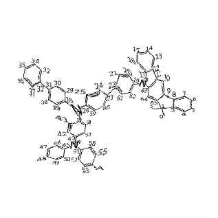 CC1(C)c2ccccc2-c2cc3c4ccccc4n(-c4ccc(-c5ccc(N(c6ccc(-c7ccccc7)cc6)c6ccc(N(c7ccccc7)c7ccccc7)cc6)cc5)cc4)c3cc21